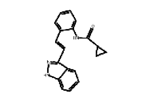 O=C(Nc1ccccc1/C=C/c1n[nH]c2ccccc12)C1CC1